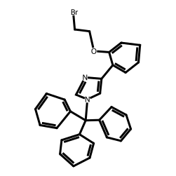 BrCCOc1ccccc1-c1cn(C(c2ccccc2)(c2ccccc2)c2ccccc2)cn1